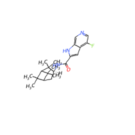 CC1(C)C2C[C@H](NC(=O)c3cc4c(F)cncc4[nH]3)C(C)(C)C1C2(C)C